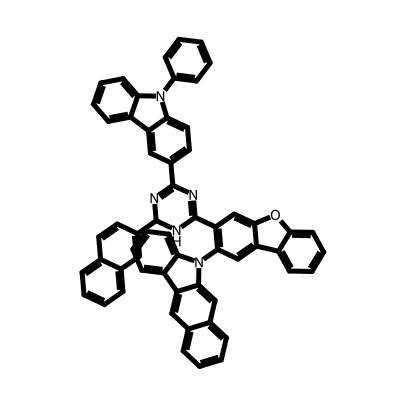 c1ccc(-n2c3ccccc3c3cc(C4=NC(c5ccc6ccccc6c5)NC(c5cc6oc7ccccc7c6cc5-n5c6ccccc6c6cc7ccccc7cc65)=N4)ccc32)cc1